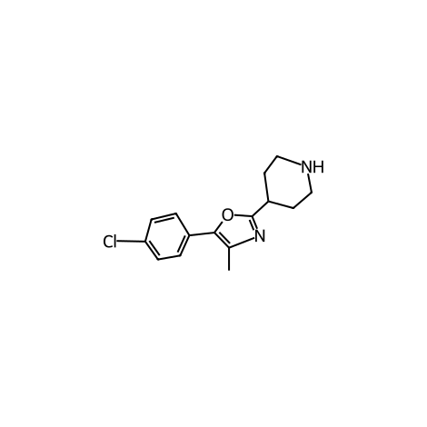 Cc1nc(C2CCNCC2)oc1-c1ccc(Cl)cc1